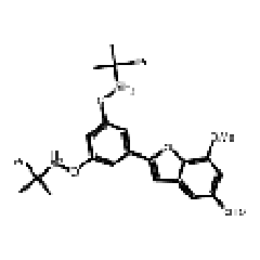 COc1cc(C=O)cc2cc(-c3cc(O[SiH2]C(C)(C)C(C)C)cc(O[SiH2]C(C)(C)C(C)C)c3)oc12